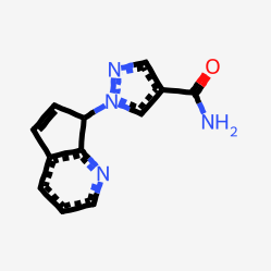 NC(=O)c1cnn(C2C=Cc3cccnc32)c1